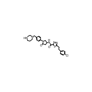 O=C(NC1CC(=O)N(c2ccc(CN3CCCNCC3)cc2)C1)c1nnc(CCc2ccc(Cl)cc2)s1